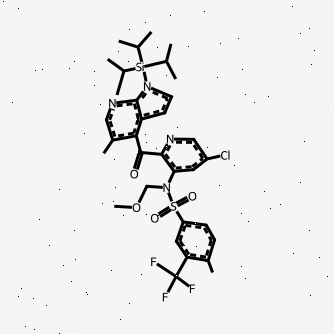 COCN(c1cc(Cl)cnc1C(=O)c1c(C)cnc2c1ccn2[Si](C(C)C)(C(C)C)C(C)C)S(=O)(=O)c1ccc(C)c(C(F)(F)F)c1